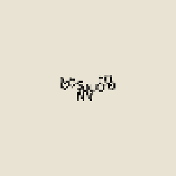 COC(=O)c1ccc(-c2cnc3ncc(Sc4ccc5ncccc5c4)n3n2)cc1F